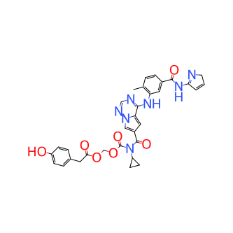 Cc1ccc(C(=O)NC2=NCC=C2)cc1Nc1ncnn2cc(C(=O)N(C(=O)OCOC(=O)Cc3ccc(O)cc3)C3CC3)cc12